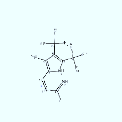 CC(=N)/N=C\c1[nH]c(C(F)(F)F)c(C(F)(F)F)c1F